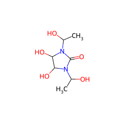 CC(O)N1C(=O)N(C(C)O)C(O)C1O